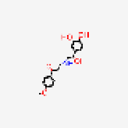 COc1ccc(C(=O)CCNCC(O)c2ccc(O)c(O)c2)cc1